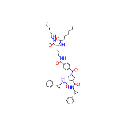 CCCCCCNC(=O)[C@@H](CCCNC(=O)c1ccc(C(=O)N2C[C@@H](C(=O)N[C@H]3C[C@@H]3c3ccccc3)[C@H](C(=O)N[C@H]3C[C@@H]3c3ccccc3)C2)cc1)NC(=O)CCCCCC